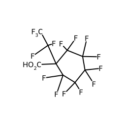 O=C(O)C1(C(F)(F)C(F)(F)F)C(F)(F)C(F)(F)C(F)(F)C(F)(F)C1(F)F